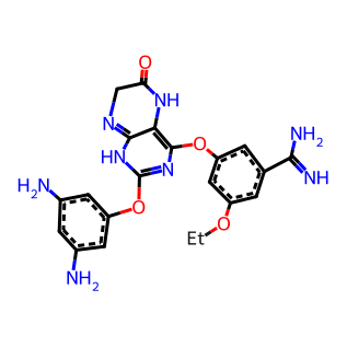 CCOc1cc(OC2=C3NC(=O)CN=C3NC(Oc3cc(N)cc(N)c3)=N2)cc(C(=N)N)c1